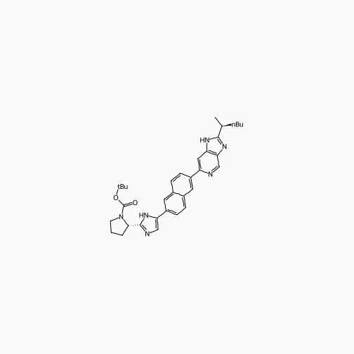 CCCC[C@H](C)c1nc2cnc(-c3ccc4cc(-c5cnc([C@@H]6CCCN6C(=O)OC(C)(C)C)[nH]5)ccc4c3)cc2[nH]1